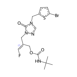 CC(C)(C)NC(=O)OC/C(=C\F)Cn1ncn(Cc2ccc(Br)s2)c1=O